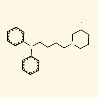 Cl.O=C(O)[C@@H]1CCCN(CCCCN(c2ccccc2)c2ccccc2)C1